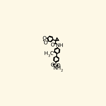 Cc1cc(NC(=O)C2(c3ccc4c(c3)OCO4)CC2)ccc1-c1ccc(S(N)(=O)=O)cc1